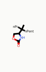 CCCCCC(C)(CCC)C1COC(=O)N1